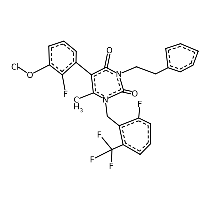 Cc1c(-c2cccc(OCl)c2F)c(=O)n(CCc2ccccc2)c(=O)n1Cc1c(F)cccc1C(F)(F)F